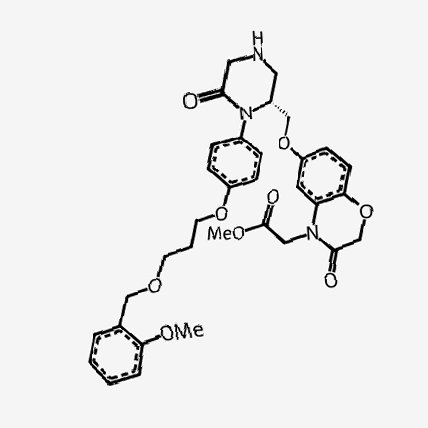 COC(=O)CN1C(=O)COc2ccc(OC[C@H]3CNCC(=O)N3c3ccc(OCCCOCc4ccccc4OC)cc3)cc21